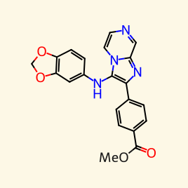 COC(=O)c1ccc(-c2nc3cnccn3c2Nc2ccc3c(c2)OCO3)cc1